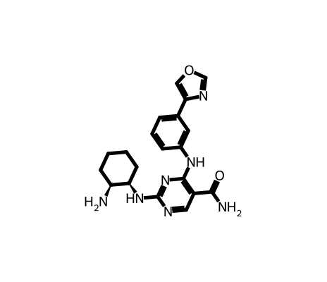 NC(=O)c1cnc(N[C@@H]2CCCC[C@@H]2N)nc1Nc1cccc(-c2cocn2)c1